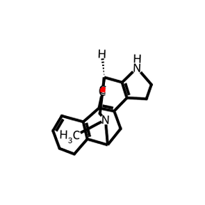 CN1CC[C@H]2CC3=C(CC1C1=C3C=CCC1)C1=C2NCC1